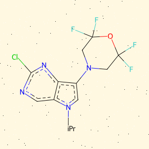 CC(C)n1cc(N2CC(F)(F)OC(F)(F)C2)c2nc(Cl)ncc21